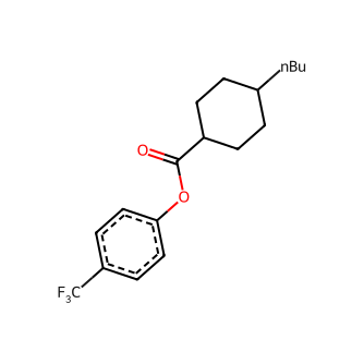 CCCCC1CCC(C(=O)Oc2ccc(C(F)(F)F)cc2)CC1